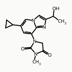 CC(O)c1cn2cc(C3CC3)cc(N3CC(=O)N(C)C3=O)c2n1